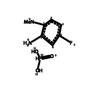 CNc1ccc(F)cc1N.O=[PH](O)O